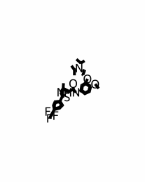 COc1ccc(NC(=O)c2sc(-c3ccc(C(F)(F)F)cc3)nc2C)cc1OCCN(C(C)C)C(C)C